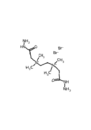 C[N+](C)(CC[N+](C)(C)CC(=O)NN)CC(=O)NN.[Br-].[Br-]